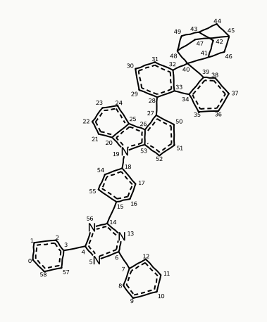 c1ccc(-c2nc(-c3ccccc3)nc(-c3ccc(-n4c5ccccc5c5c(-c6cccc7c6-c6ccccc6C76C7CC8CC(C7)CC6C8)cccc54)cc3)n2)cc1